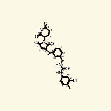 Cc1ccc(NC(=O)NCc2cccc(OC3=CC(=O)N(C4CCC(=O)NC4=O)C3=O)c2)cc1Cl